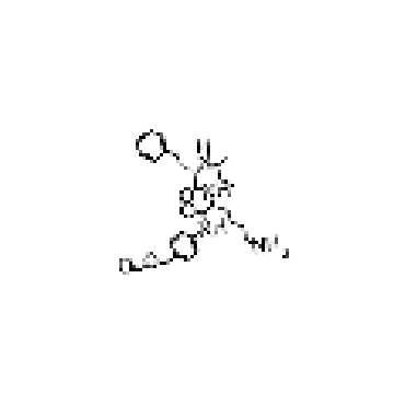 CCC(C)N[C@@H](CCc1ccccc1)C(=O)N[C@@H](CCCCN)C(=O)Nc1ccc(COC=O)cc1